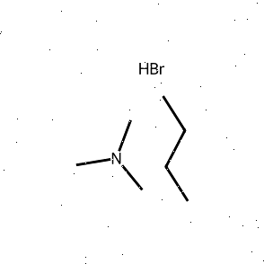 Br.CCCC.CN(C)C